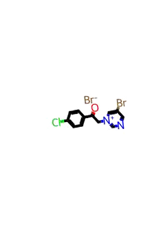 O=C(C[n+]1cncc(Br)c1)c1ccc(Cl)cc1.[Br-]